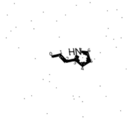 C/C=[C]/c1ccc[nH]1